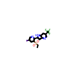 CCS(=O)(=O)c1cc(I)cnc1-c1cc2ncc(C(F)(F)F)cc2[nH]1